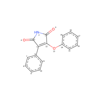 O=C1NC(=O)C(c2ccccc2)=C1Oc1ccccc1